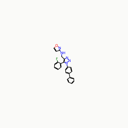 Fc1ccccc1-c1c(CNc2ccon2)nnn1-c1ccc(-c2ccccc2)cc1